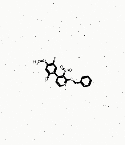 COc1cc(Cl)c(-c2ccnc(OCc3ccccc3)c2[N+](=O)[O-])cc1F